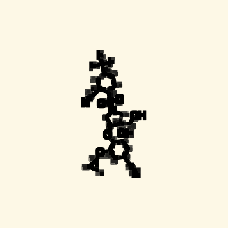 N#Cc1ccc(O[C@H]2CN(S(=O)(=O)c3ccc(C(F)(F)F)cc3C#N)C[C@@]2(O)CO)c(OC2CC2)c1